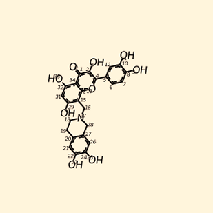 O=c1c(O)c(-c2ccc(O)c(O)c2)oc2c(CN3CCc4cc(O)c(O)cc4C3)c(O)cc(O)c12